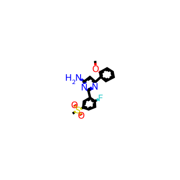 COc1ccccc1-c1cc(N)nc(-c2cc(S(C)(=O)=O)ccc2F)n1